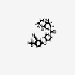 N#Cc1cc(OC2CCN(C(=O)N3CC[C@@H]4OCC(=O)N[C@@H]4C3)CC2)ccc1C(F)(F)F